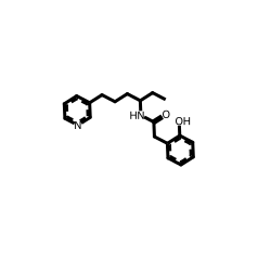 CCC(CCCc1cccnc1)NC(=O)Cc1ccccc1O